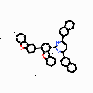 C1=C(c2ccc3ccccc3c2)N=C(c2ccc(-c3ccc4oc5ccccc5c4c3)c3oc4ccccc4c23)N=C(c2ccc3ccccc3c2)C1